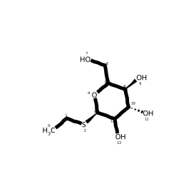 CCS[C@H]1OC(CO)[C@@H](O)[C@H](O)C1O